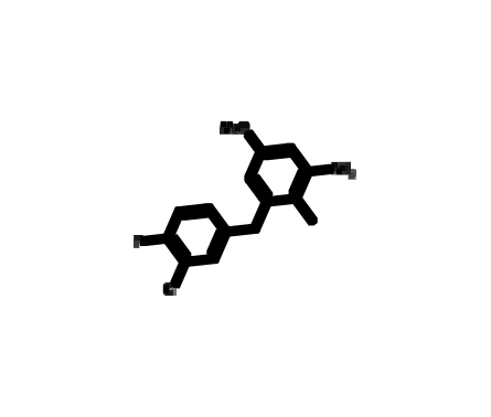 COc1cc(N)c(C)c(Cc2ccc(F)c(Cl)c2)c1